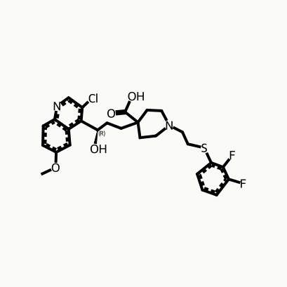 COc1ccc2ncc(Cl)c([C@H](O)CCC3(C(=O)O)CCN(CCSc4cccc(F)c4F)CC3)c2c1